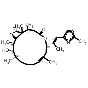 C/C1=C/CCC[C@H](C)[C@H](O)[C@@H](C)C(=O)C(C)(C)[C@@H](C)CC(=O)O[C@H](/C(C)=C/c2csc(C)n2)C1